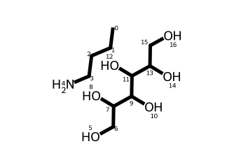 CCCCN.OCC(O)C(O)C(O)C(O)CO